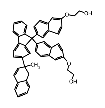 CC1(c2ccc3c(c2)C(c2ccc4cc(OCCO)ccc4c2)(c2ccc4cc(OCCO)ccc4c2)c2ccccc2-3)C=Cc2ccccc2C1